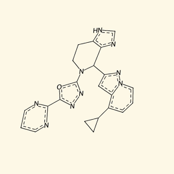 c1cnc(-c2nnc(N3CCc4[nH]cnc4C3c3cc4c(C5CC5)cccn4n3)o2)nc1